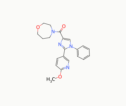 COc1ccc(-c2nc(C(=O)N3CCCOCC3)cn2-c2ccccc2)cn1